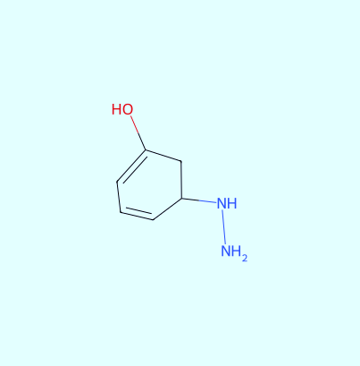 NNC1C=CC=C(O)C1